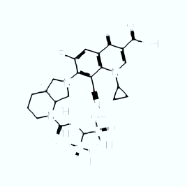 N#Cc1c(N2C[C@@H]3CCCN(C(=O)OC(P(=O)(O)O)P(=O)(O)O)[C@@H]3C2)c(F)cc2c(=O)c(C(=O)O)cn(C3CC3)c12